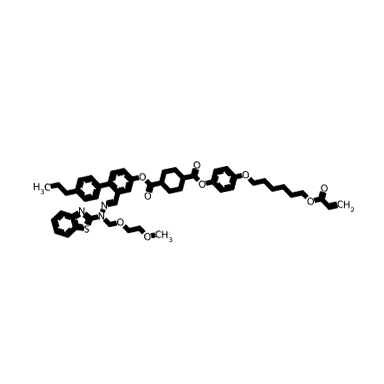 C=CC(=O)OCCCCCCOc1ccc(OC(=O)C2CCC(C(=O)Oc3ccc(-c4ccc(CCC)cc4)c(/C=N/N(COCCOC)c4nc5ccccc5s4)c3)CC2)cc1